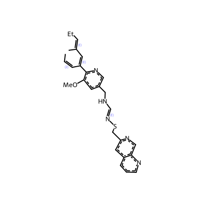 C\C=C/C(=C\C(C)=C\CC)c1ncc(CN/C=N/SCc2cc3cccnc3cn2)cc1OC